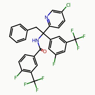 O=C(NC(Cc1ccccc1)(c1cc(F)cc(C(F)(F)F)c1)c1ccc(Cl)cn1)c1ccc(F)c(C(F)(F)F)c1